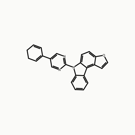 C1=CC(c2cnc(-n3c4ccccc4c4c5ccoc5ccc43)nc2)=CCC1